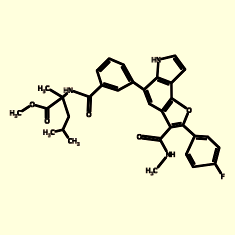 CNC(=O)c1c(-c2ccc(F)cc2)oc2c1cc(-c1cccc(C(=O)NC(C)(CC(C)C)C(=O)OC)c1)c1[nH]ccc12